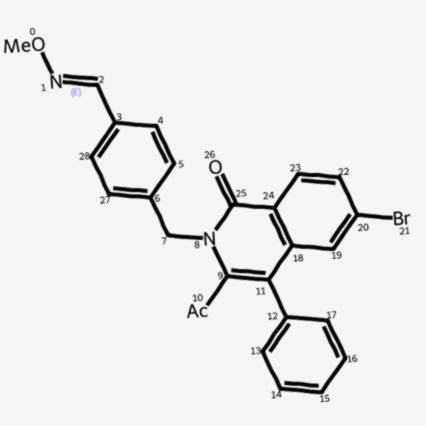 CO/N=C/c1ccc(Cn2c(C(C)=O)c(-c3ccccc3)c3cc(Br)ccc3c2=O)cc1